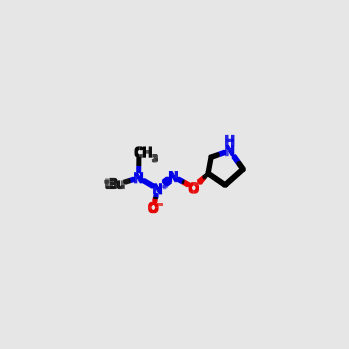 CN(/[N+]([O-])=N/O[C@@H]1CCNC1)C(C)(C)C